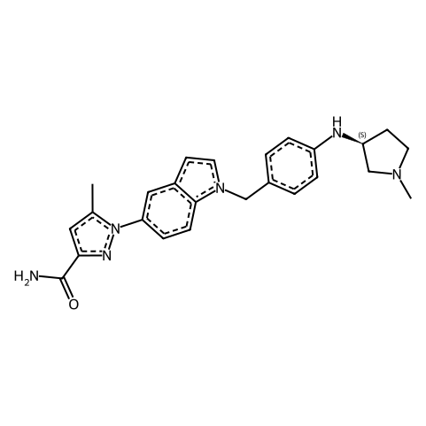 Cc1cc(C(N)=O)nn1-c1ccc2c(ccn2Cc2ccc(N[C@H]3CCN(C)C3)cc2)c1